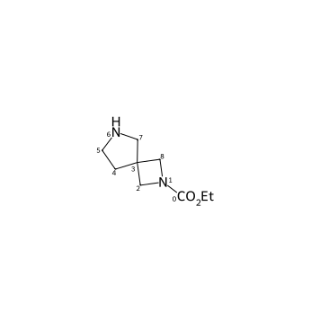 CCOC(=O)N1CC2(CCNC2)C1